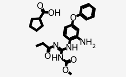 CCC(=O)N=C(NC(=O)OC)Nc1ccc(Oc2ccccc2)cc1N.O=C(O)C1CCCC1